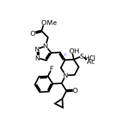 COC(=O)Cn1nncc1/C=C1\CN(C(C(=O)C2CC2)c2ccccc2F)CCC1(O)SC(C)=O.Cl